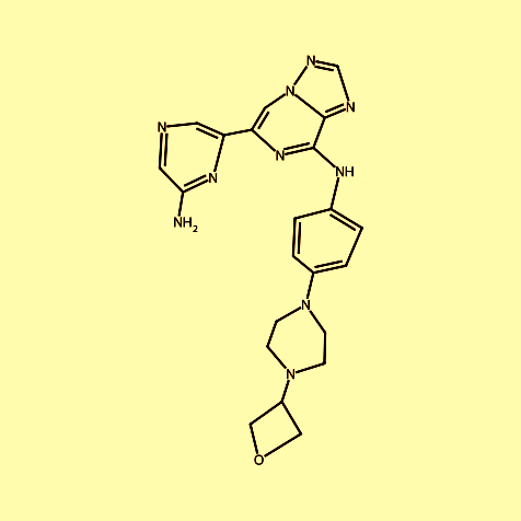 Nc1cncc(-c2cn3ncnc3c(Nc3ccc(N4CCN(C5COC5)CC4)cc3)n2)n1